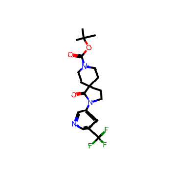 CC(C)(C)OC(=O)N1CCC2(CC1)CCN(c1cncc(C(F)(F)F)c1)C2=O